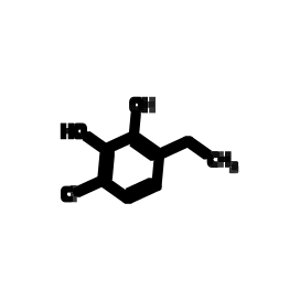 CCc1ccc(Cl)c(O)c1O